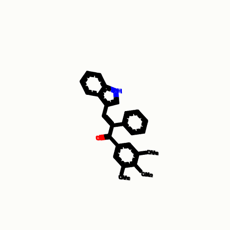 COc1cc(C(=O)C(=Cc2c[nH]c3ccccc23)c2ccccc2)cc(OC)c1OC